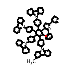 Cc1ccc2c(c1)c1ccccc1n2-c1ccc(-c2c(C#N)c(-c3ccc(-c4ccccc4)nc3-c3ccccc3)c(-c3ccc(-n4c5ccccc5c5ccccc54)cc3)c(-c3ccc(-n4c5ccccc5c5ccccc54)cc3)c2-c2ccc(-n3c4ccccc4c4ccccc43)cc2)cc1